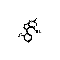 COc1ccccc1C1NCc2nc(C)nc(N)c21